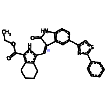 CCOC(=O)c1[nH]c(/C=C2\C(=O)Nc3ccc(-c4csc(-c5ccccc5)n4)cc32)c2c1CCCC2